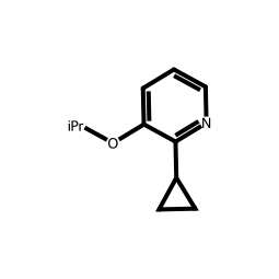 CC(C)Oc1cccnc1C1CC1